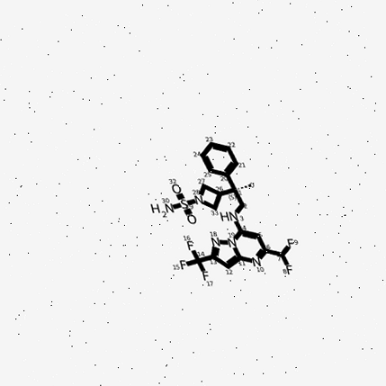 C[C@@](CNc1cc(C(F)F)nc2cc(C(F)(F)F)nn12)(c1ccccc1)C1CN(S(N)(=O)=O)C1